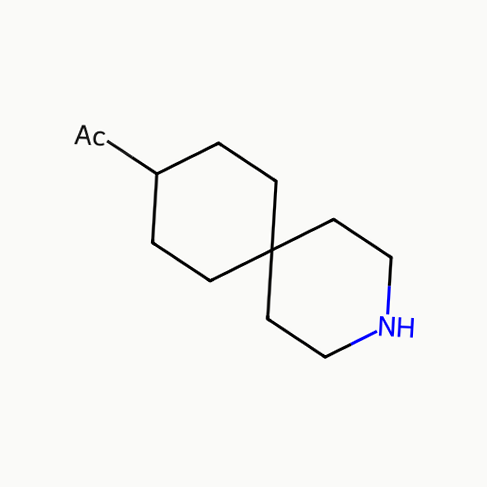 CC(=O)C1CCC2(CCNCC2)CC1